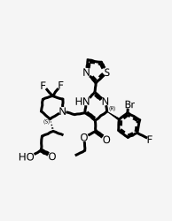 CCOC(=O)C1=C(CN2CC(F)(F)CC[C@H]2C(C)CC(=O)O)NC(c2nccs2)=N[C@H]1c1ccc(F)cc1Br